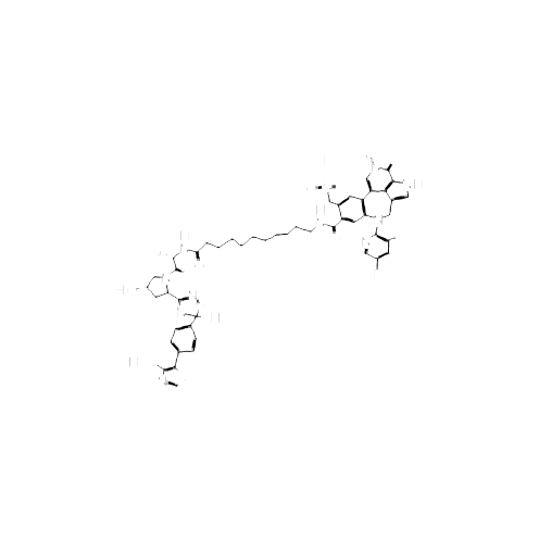 Cc1ncsc1-c1ccc([C@]2(C)NC(C3C[C@@H](O)CN3C(=O)[C@@H](NC(=O)CCCCCCCCCCNC(=O)c3cc4c(cc3CS(C)(=O)=O)-c3cn(C)c(=O)c5[nH]cc(c35)CN4c3ncc(F)cc3F)C(C)(C)C)=NO2)cc1